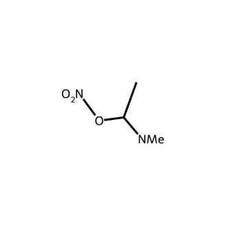 CNC(C)O[N+](=O)[O-]